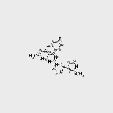 Cc1cc(C2CN(c3nc(-c4ccc(F)cc4F)c4ncc(C)nc4n3)CCO2)ccn1